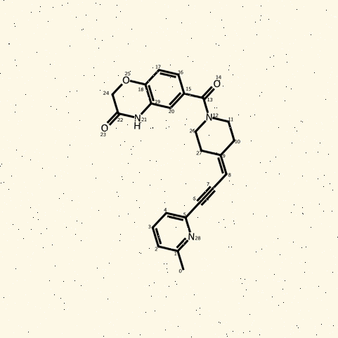 Cc1cccc(C#CC=C2CCN(C(=O)c3ccc4c(c3)NC(=O)CO4)CC2)n1